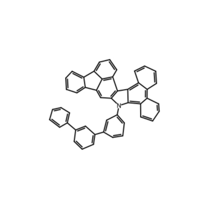 c1ccc(-c2cccc(-c3cccc(-n4c5cc6c7c(cccc7c5c5c7ccccc7c7ccccc7c54)-c4ccccc4-6)c3)c2)cc1